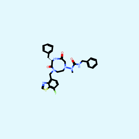 CN(C(=O)NCc1ccccc1)N1CCN(Cc2ccc(F)c3scnc23)C(=O)[C@H](Cc2ccccc2)NC(=O)C1